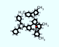 Cc1ccc2c(c1)c1cc(C)ccc1n2-c1ccc(C#N)c(-c2cc(-c3nc(-c4ccccc4)nc(-c4ccccc4)n3)ccc2-n2c3ccc(C)cc3c3cc(C)ccc32)c1